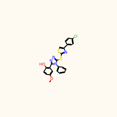 COc1ccc(O)c(-c2nnc(Sc3nc(-c4ccc(Cl)cc4)cs3)n2-c2ccccc2)c1